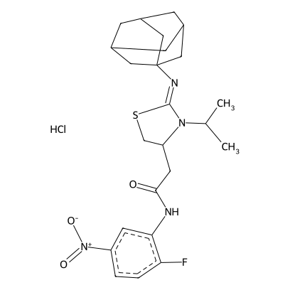 CC(C)N1C(=NC23CC4CC(CC(C4)C2)C3)SCC1CC(=O)Nc1cc([N+](=O)[O-])ccc1F.Cl